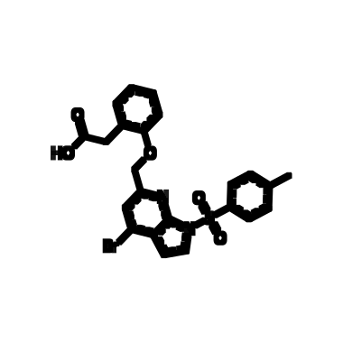 Cc1ccc(S(=O)(=O)n2ccc3c(Br)cc(COc4ccccc4CC(=O)O)nc32)cc1